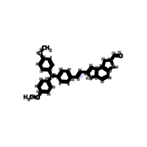 COc1ccc(N(c2ccc(/C=C/c3cc4c5c(ccc4s3)SC(C=O)C5)cc2)c2ccc(OC)cc2)cc1